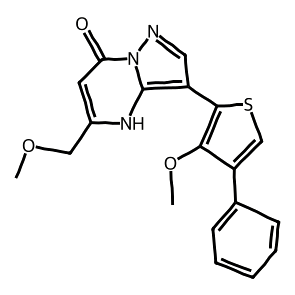 COCc1cc(=O)n2ncc(-c3scc(-c4ccccc4)c3OC)c2[nH]1